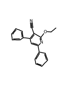 CCOc1nc(-c2ccccc2)cc(-c2ccccc2)c1C#N